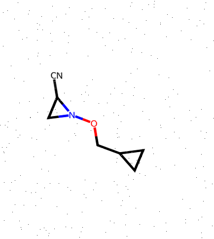 N#CC1CN1OCC1CC1